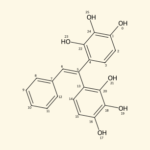 Oc1ccc(C(=Cc2ccccc2)c2ccc(O)c(O)c2O)c(O)c1O